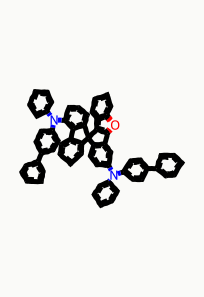 c1ccc(-c2ccc(N(c3ccccc3)c3ccc4c(c3)-c3oc5ccccc5c3C43c4ccccc4-c4c(N(c5ccccc5)c5ccc(-c6ccccc6)cc5)cccc43)cc2)cc1